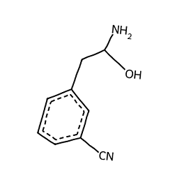 N#Cc1cccc(CC(N)O)c1